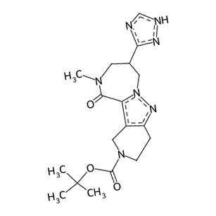 CN1CC(c2nc[nH]n2)Cn2nc3c(c2C1=O)CN(C(=O)OC(C)(C)C)CC3